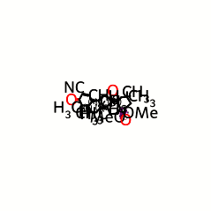 COP(=O)(OC)[C@]12CCC(C)(C)C[C@H]1[C@H]1C(=O)C=C3[C@@]4(C)C=C(C#N)C(=O)C(C)(C)[C@@H]4CC[C@@]3(C)[C@]1(C)CC2